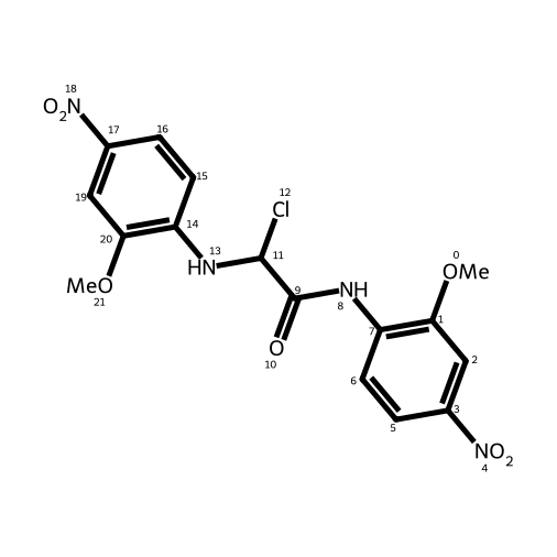 COc1cc([N+](=O)[O-])ccc1NC(=O)C(Cl)Nc1ccc([N+](=O)[O-])cc1OC